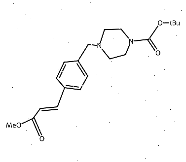 COC(=O)C=Cc1ccc(CN2CCN(C(=O)OC(C)(C)C)CC2)cc1